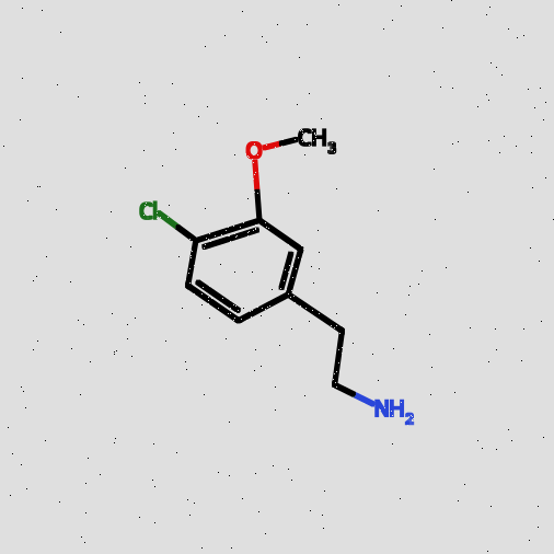 COc1cc(CCN)ccc1Cl